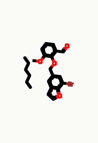 CCCCCC.COc1cccc(C=O)c1OCc1cc(Br)c2occc2c1